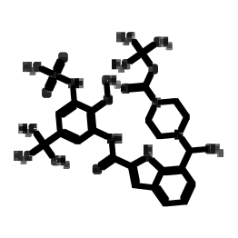 COc1c(NC(=O)c2cc3cccc(C(C)N4CCN(C(=O)OC(C)(C)C)CC4)c3[nH]2)cc(C(C)(C)C)cc1NS(C)(=O)=O